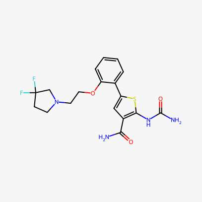 NC(=O)Nc1sc(-c2ccccc2OCCN2CCC(F)(F)C2)cc1C(N)=O